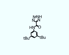 CC(C)(C)c1cc(NC(=O)c2nn[nH]n2)cc(C(C)(C)C)c1